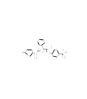 CN(C)C(=N)c1ccc(NC(=O)C(NC(=O)Nc2ccc(Cl)cc2)c2ccccc2)c(F)c1